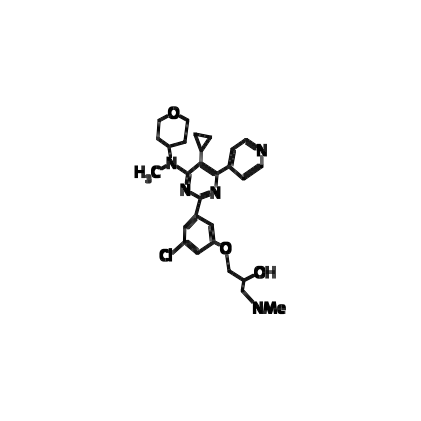 CNCC(O)COc1cc(Cl)cc(-c2nc(-c3ccncc3)c(C3CC3)c(N(C)C3CCOCC3)n2)c1